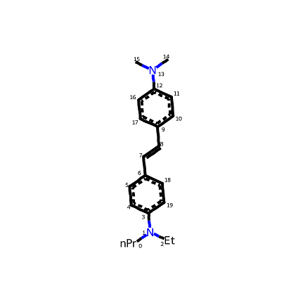 CCCN(CC)c1ccc(/C=C/c2ccc(N(C)C)cc2)cc1